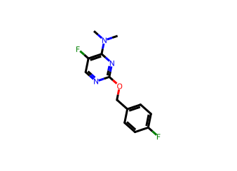 CN(C)c1nc(OCc2ccc(F)cc2)ncc1F